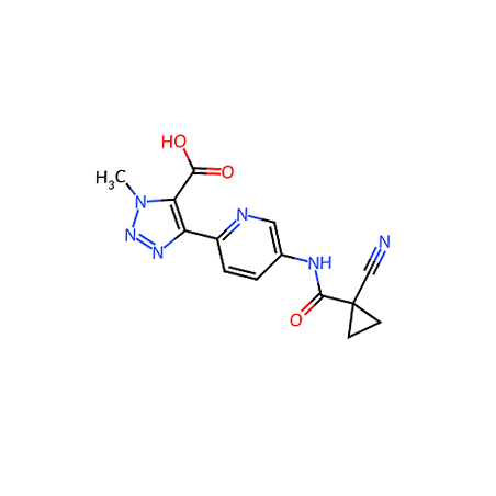 Cn1nnc(-c2ccc(NC(=O)C3(C#N)CC3)cn2)c1C(=O)O